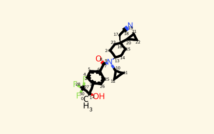 C[C@](O)(c1ccc(C(=O)N(C2CC2)[C@H]2CC[C@@](CC#N)(C3CC3)CC2)cc1)C(F)(F)F